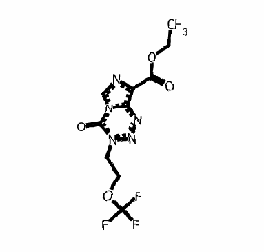 CCOC(=O)c1ncn2c(=O)n(CCOC(F)(F)F)nnc12